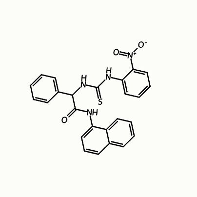 O=C(Nc1cccc2ccccc12)C(NC(=S)Nc1ccccc1[N+](=O)[O-])c1ccccc1